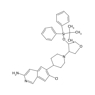 CC(C)(C)[Si](OC1COCC1N1CCC(c2cc3cc(N)ncc3cc2Cl)CC1)(c1ccccc1)c1ccccc1